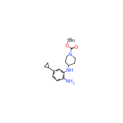 CC(C)(C)OC(=O)N1CCC(Nc2cc(C3CC3)ccc2N)CC1